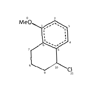 COc1cccc2c1CCCC2Cl